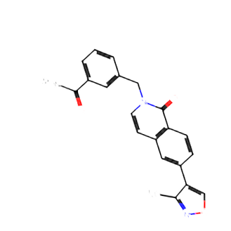 CNC(=O)c1cccc(Cn2ccc3cc(-c4conc4C)ccc3c2=O)c1